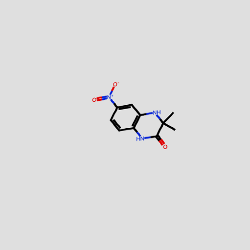 CC1(C)Nc2cc([N+](=O)[O-])ccc2NC1=O